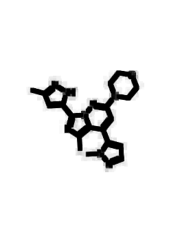 Cc1cc(-c2nc(C)c3c(-c4ccnn4C)cc(N4CCOCC4)nn23)[nH]n1